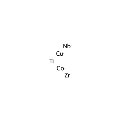 [Co].[Cu].[Nb].[Ti].[Zr]